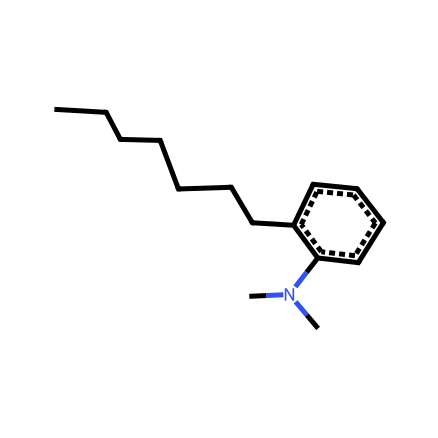 CCCCCCCc1ccccc1N(C)C